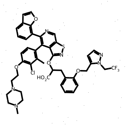 Cc1c(-c2c(-c3cccc4ccoc34)ncc3snc(OC(Cc4ccccc4OCc4ccnn4CC(F)(F)F)C(=O)O)c23)ccc(OCCN2CCN(C)CC2)c1Cl